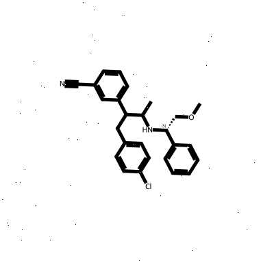 COC[C@@H](NC(C)C(Cc1ccc(Cl)cc1)c1cccc(C#N)c1)c1ccccc1